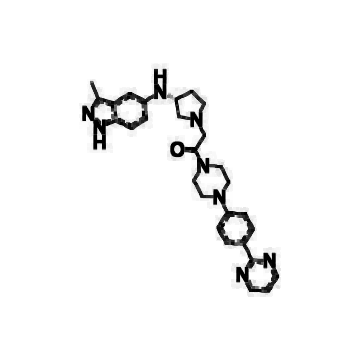 Cc1n[nH]c2ccc(N[C@@H]3CCN(CC(=O)N4CCN(c5ccc(-c6ncccn6)cc5)CC4)C3)cc12